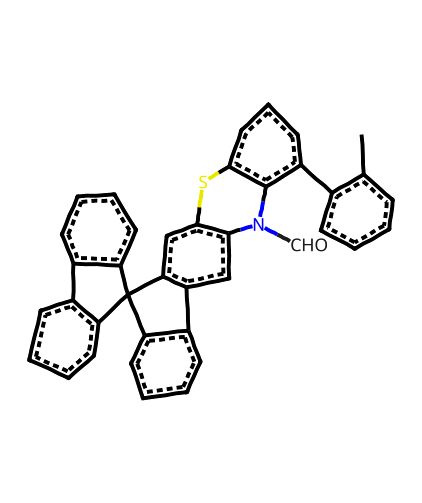 Cc1ccccc1-c1cccc2c1N(C=O)c1cc3c(cc1S2)C1(c2ccccc2-c2ccccc21)c1ccccc1-3